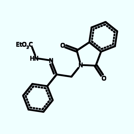 CCOC(=O)NN=C(CN1C(=O)c2ccccc2C1=O)c1ccccc1